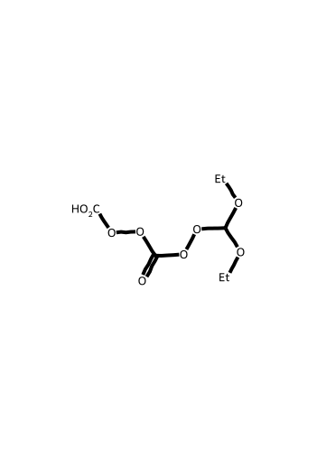 CCOC(OCC)OOC(=O)OOC(=O)O